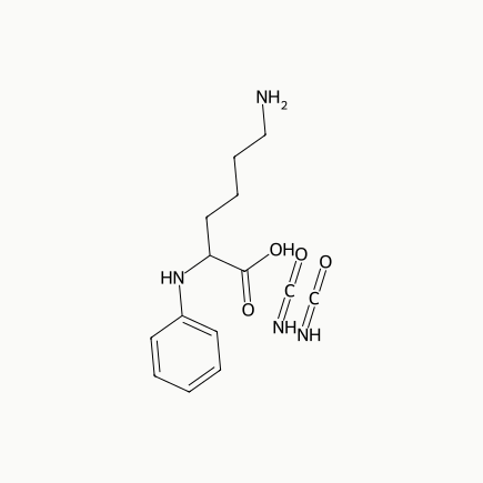 N=C=O.N=C=O.NCCCCC(Nc1ccccc1)C(=O)O